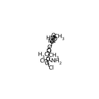 CC(C)(c1ccc(OCc2cnc(NS(C)(=O)=O)nc2)cc1)c1cc(Cl)c(OCCCl)c(CN)c1